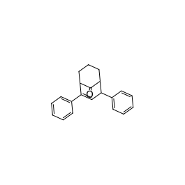 O=C1C2CCCC1C(c1ccccc1)C=C2c1ccccc1